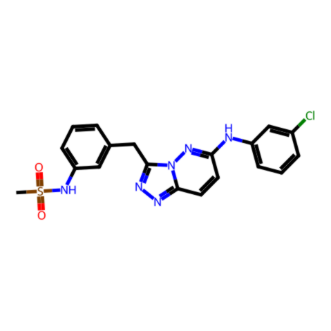 CS(=O)(=O)Nc1cccc(Cc2nnc3ccc(Nc4cccc(Cl)c4)nn23)c1